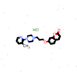 Cc1cccnc1N1CCN(CCCOc2ccc3ccc(=O)oc3c2)CC1.Cl